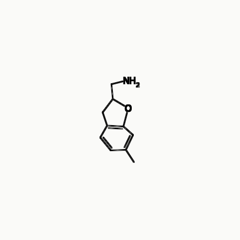 Cc1ccc2c(c1)OC(CN)C2